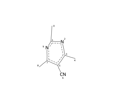 Cc1nc(C)c(C#N)c(C)n1